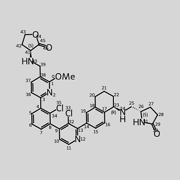 COc1nc(-c2cccc(-c3ccnc(-c4ccc5c(c4)CCC[C@H]5NC[C@@H]4CCC(=O)N4)c3Cl)c2Cl)ccc1CN[C@H]1CCOC1=O